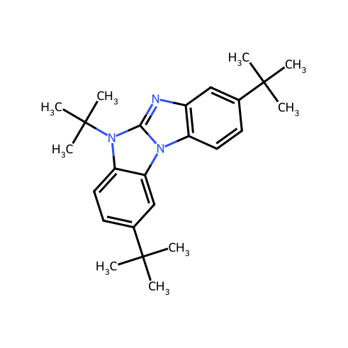 CC(C)(C)c1ccc2c(c1)nc1n(C(C)(C)C)c3ccc(C(C)(C)C)cc3n21